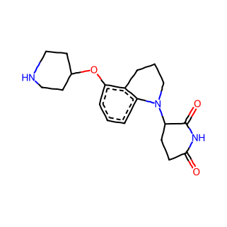 O=C1CCC(N2CCCc3c(OC4CCNCC4)cccc32)C(=O)N1